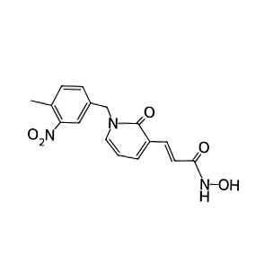 Cc1ccc(Cn2cccc(/C=C/C(=O)NO)c2=O)cc1[N+](=O)[O-]